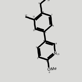 COc1ccc(-c2ccc(CO)c(C)c2)cn1